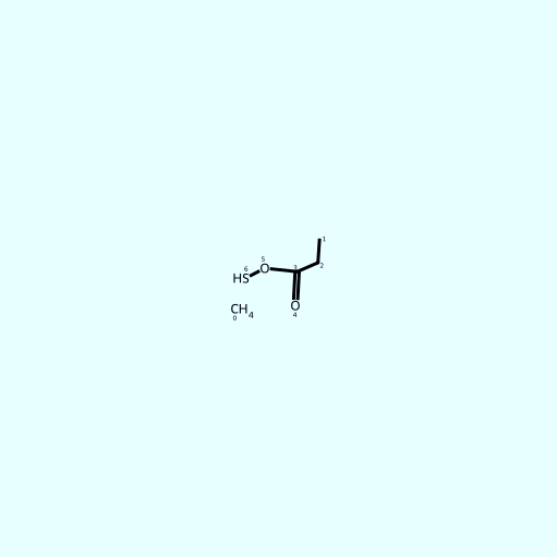 C.CCC(=O)OS